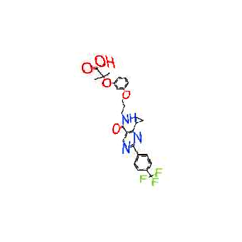 CC(C)(Oc1cccc(OCCCNC(=O)c2cnc(-c3ccc(C(F)(F)F)cc3)nc2C2CC2)c1)C(=O)O